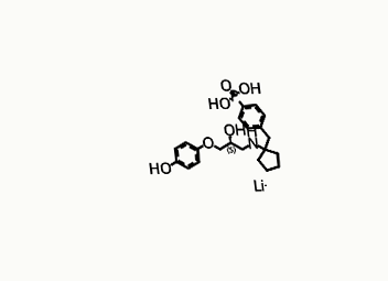 O=P(O)(O)c1ccc(CC2(NC[C@H](O)COc3ccc(O)cc3)CCCC2)cc1.[Li]